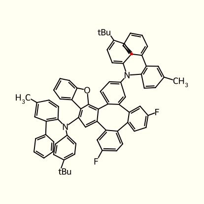 Cc1ccc(N(c2ccc(C(C)(C)C)cc2)c2ccc3c(c2)-c2cc(F)ccc2-c2ccc(F)cc2-c2cc(N(c4ccc(C(C)(C)C)cc4)c4ccc(C)cc4-c4ccccc4)c4c(oc5ccccc54)c2-3)c(-c2ccccc2)c1